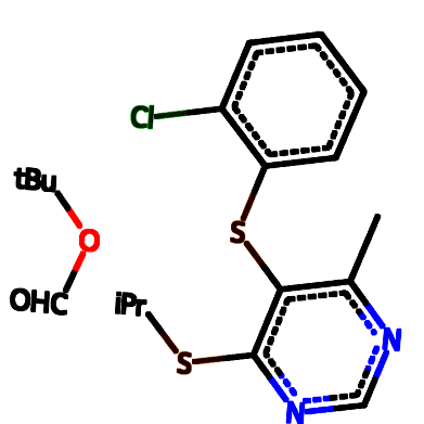 CC(C)(C)OC=O.Cc1ncnc(SC(C)C)c1Sc1ccccc1Cl